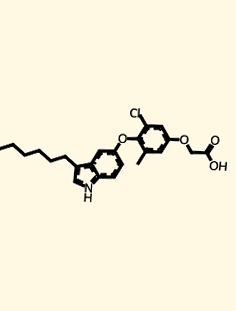 CCCCCCc1c[nH]c2ccc(Oc3c(C)cc(OCC(=O)O)cc3Cl)cc12